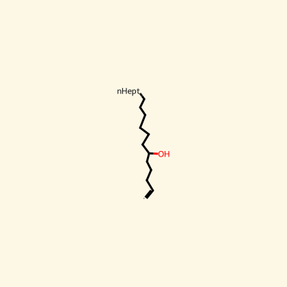 [CH]=CCCCC(O)CCCCCCCCCCCCC